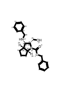 O=C(OCc1ccccc1)N1[C@@H]2CCC[C@@H]2[C@H](NCc2ccccc2)[C@@H]1CO